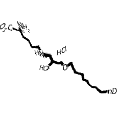 CCCCCCCCCCCCCCCCCCOCC(O)CNCCCC[C@H](N)C(=O)O.Cl